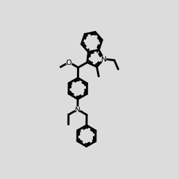 CCN(Cc1ccccc1)c1ccc(C(OC)c2c(C)n(CC)c3ccccc23)cc1